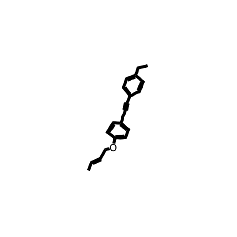 CC=CCOc1ccc(C#Cc2ccc(CC)cc2)cc1